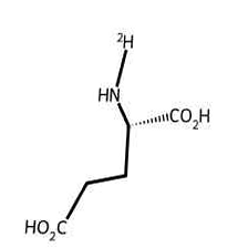 [2H]N[C@@H](CCC(=O)O)C(=O)O